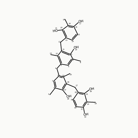 Cc1cc(Cc2cc(C)c(O)c(Cc3ccc(O)c(C)c3O)c2C)c(C)c(Cc2ccc(O)c(C)c2O)c1O